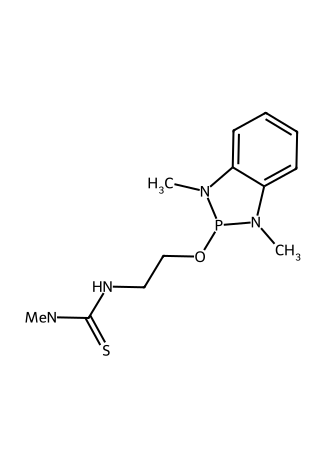 CNC(=S)NCCOP1N(C)c2ccccc2N1C